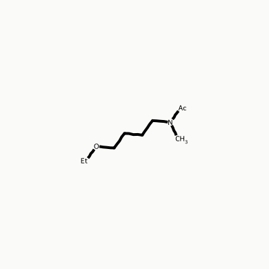 CCOCCCCN(C)C(C)=O